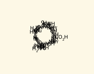 CC(C)C[C@@H]1NC(=O)[C@H](Cc2c[nH]cn2)NC(=O)[C@H](Cc2c[nH]c3ccccc23)NC(=O)[C@H](C)NC(=O)[C@@H](NC(C)(C)C)CCc2cn(nn2)CCCC[C@@H](C(=O)N[C@H](C(N)=O)C(C)C)NC(=O)[C@H](Cc2c[nH]c3ccccc23)NC(=O)[C@H](C(C)C)NC(=O)[C@H](CC(C)C)NC(=O)[C@H](CCC(=O)O)NC(=O)CNC1=O